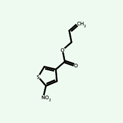 C=CCOC(=O)c1csc([N+](=O)[O-])c1